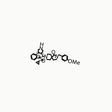 COc1ccc(CN2CCC3(CCN(C([C@@H]4CNC[C@@H]4c4ccccc4)S(=O)(=O)C4CC4)CC3)C2=O)cc1